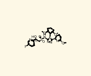 COc1cccc(-c2nnc(NS(=O)(=O)C[C@H](O)c3ccc(F)cn3)n2-c2c(OC)cccc2OC)n1